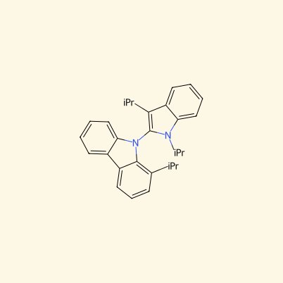 CC(C)c1c(-n2c3ccccc3c3cccc(C(C)C)c32)n(C(C)C)c2ccccc12